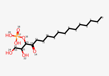 CCCCCCCCCCCCCC(=O)C(OP(=O)(O)O)C(O)CO